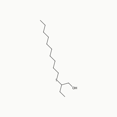 CCCCCCCCCCSC(CC)CO